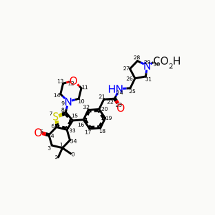 CC1(C)CC(=O)c2sc(N3CCOCC3)c(-c3cccc(CC(=O)NCC4CCN(C(=O)O)C4)c3)c2C1